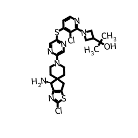 CC(C)(O)C1CN(c2nccc(Sc3cnc(N4CCC5(CC4)Cc4sc(Cl)nc4[C@H]5N)cn3)c2Cl)C1